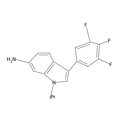 CC(C)n1cc(-c2cc(F)c(F)c(F)c2)c2ccc(N)cc21